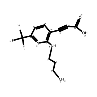 CCCCNc1nc(C(F)(F)F)ccc1C#CC(=O)O